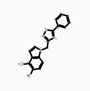 N#Cc1ccc2c(ccn2Cc2noc(-c3ccccc3)n2)c1C(F)(F)F